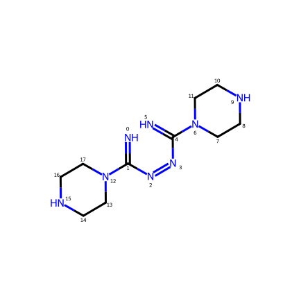 N=C(/N=N\C(=N)N1CCNCC1)N1CCNCC1